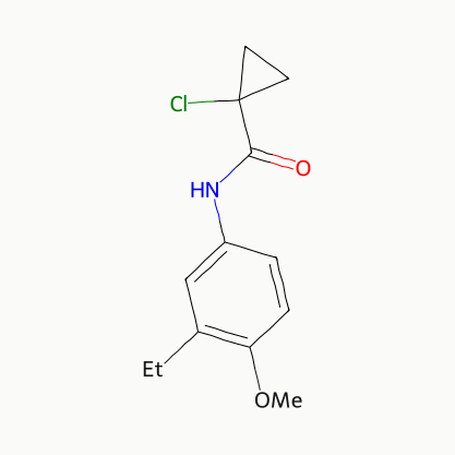 CCc1cc(NC(=O)C2(Cl)CC2)ccc1OC